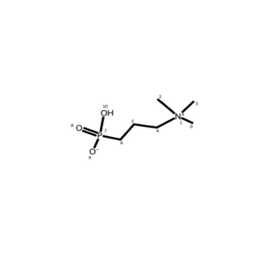 C[N+](C)(C)CCCP(=O)([O-])O